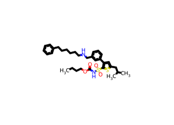 CCCCOC(=O)NS(=O)(=O)c1sc(CC(C)C)cc1-c1cccc(CNCCCCCCc2ccccc2)c1